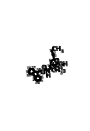 CCC#CCCN(C[C@@H](C)NC(=O)OCC1c2ccccc2-c2ccccc21)[C@@H](C)C(=O)O